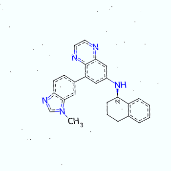 Cn1cnc2ccc(-c3cc(N[C@@H]4CCCc5ccccc54)cc4nccnc34)cc21